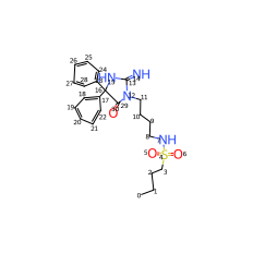 CCCCS(=O)(=O)NCCCCN1C(=N)NC(c2ccccc2)(c2ccccc2)C1=O